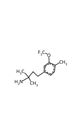 Cc1ccc(CCC(C)(C)N)cc1OC(F)(F)F